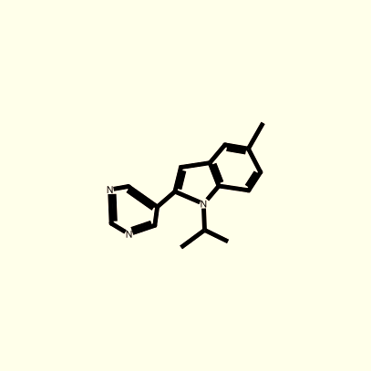 Cc1ccc2c(c1)cc(-c1cncnc1)n2C(C)C